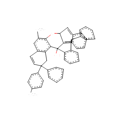 COc1ccc(C2(c3ccccc3)C=Cc3cc(OC)c4c(c3C2)C(O)(c2ccccc2Cc2ccccc2)C2=c3ccccc3=CC2O4)cc1